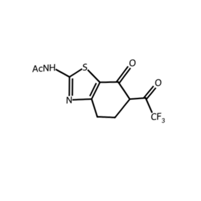 CC(=O)Nc1nc2c(s1)C(=O)C(C(=O)C(F)(F)F)CC2